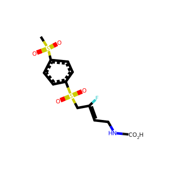 CS(=O)(=O)c1ccc(S(=O)(=O)C/C(F)=C/CNC(=O)O)cc1